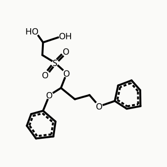 O=S(=O)(CC(O)O)OC(CCOc1ccccc1)Oc1ccccc1